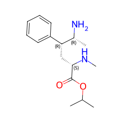 CN[C@@H](C[C@H](c1ccccc1)[C@@H](C)N)C(=O)OC(C)C